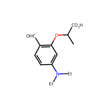 CCN(CC)c1ccc(C=O)c(OC(C)C(=O)O)c1